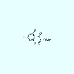 COC(=O)C(=O)c1c(F)cc(F)cc1Br